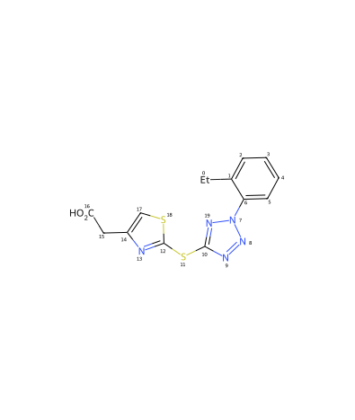 CCc1ccccc1-n1nnc(Sc2nc(CC(=O)O)cs2)n1